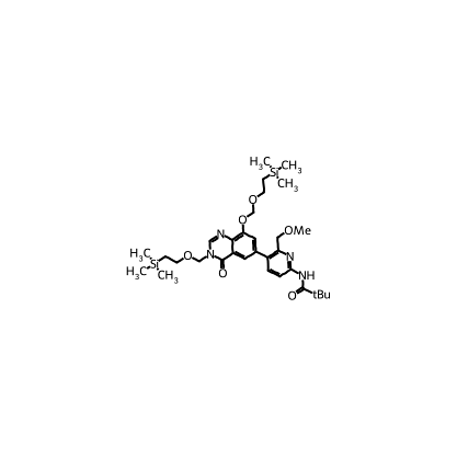 COCc1nc(NC(=O)C(C)(C)C)ccc1-c1cc(OCOCC[Si](C)(C)C)c2ncn(COCC[Si](C)(C)C)c(=O)c2c1